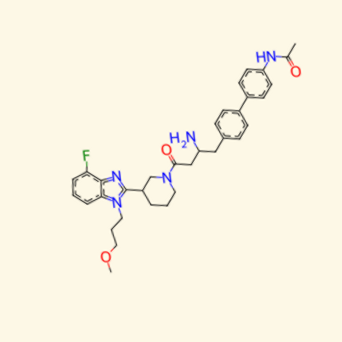 COCCCn1c(C2CCCN(C(=O)CC(N)Cc3ccc(-c4ccc(NC(C)=O)cc4)cc3)C2)nc2c(F)cccc21